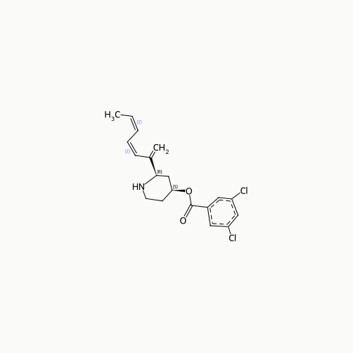 C=C(/C=C\C=C/C)[C@H]1C[C@@H](OC(=O)c2cc(Cl)cc(Cl)c2)CCN1